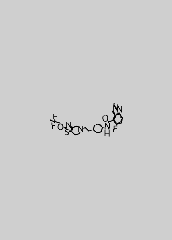 Cn1cc2c(C(=O)N[C@H]3CC[C@H](CCN4CCc5sc(OCC(C)(F)F)nc5C4)CC3)c(F)ccc2n1